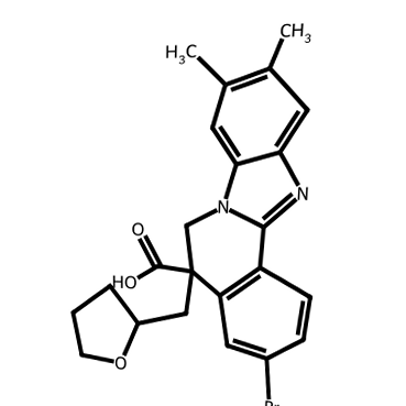 Cc1cc2nc3n(c2cc1C)CC(CC1CCCO1)(C(=O)O)c1cc(Br)ccc1-3